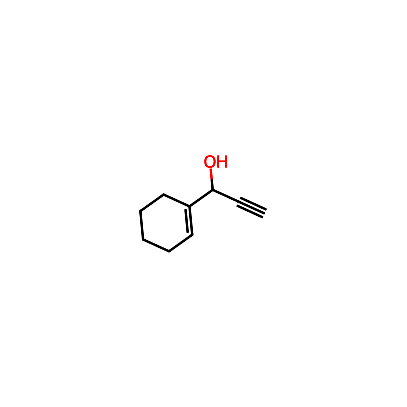 C#CC(O)C1=CCCCC1